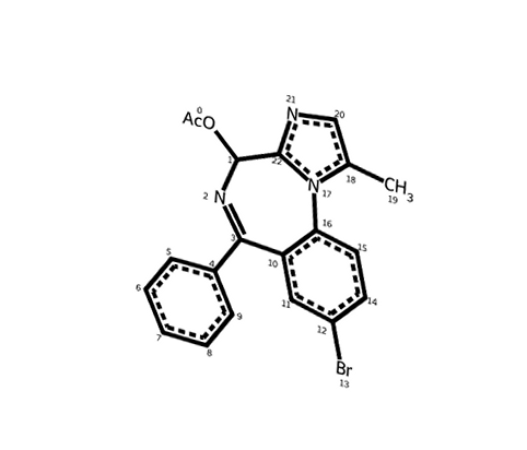 CC(=O)OC1N=C(c2ccccc2)c2cc(Br)ccc2-n2c(C)cnc21